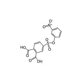 O=C(O)c1ccc(S(=O)(=O)Oc2cccc([N+](=O)[O-])c2)cc1C(=O)O